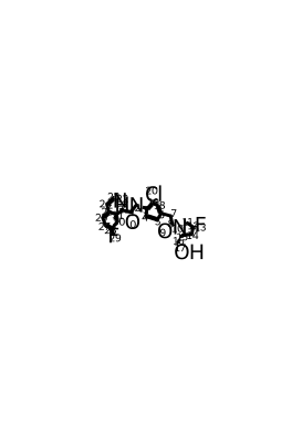 O=C(Nc1ccc(CC(=O)N2C[C@@H](F)C[C@H]2CO)cc1Cl)c1nccc2ccc(F)cc12